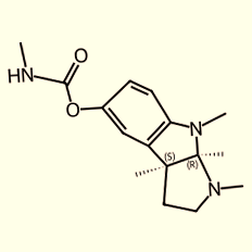 CNC(=O)Oc1ccc2c(c1)[C@]1(C)CCN(C)[C@]1(C)N2C